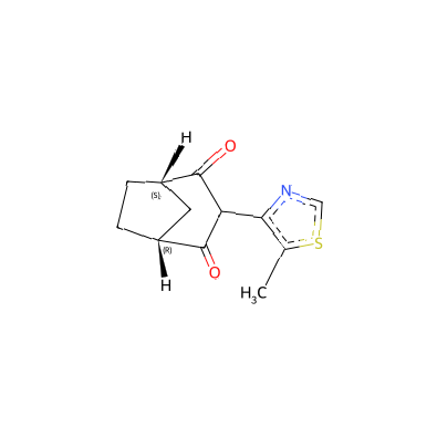 Cc1scnc1C1C(=O)[C@@H]2CC[C@@H](C2)C1=O